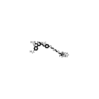 CCOP(C)(=O)C(F)(F)CCOCCOCCOc1ccc(CCc2cnc3c(N)nc4cc(C)ccc4c3c2)c(C)c1